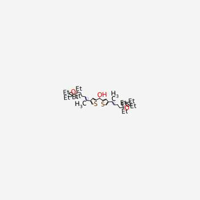 CCC(CC)(CC/C=C(\C)c1csc(C(O)c2cc(/C(C)=C/CCC(CC)(CC)O[Si](CC)(CC)CC)cs2)c1)O[Si](CC)(CC)CC